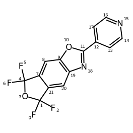 FC1(F)OC(F)(F)c2cc3oc(-c4ccncc4)nc3cc21